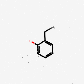 CC(C)Cc1ccccc1[O]